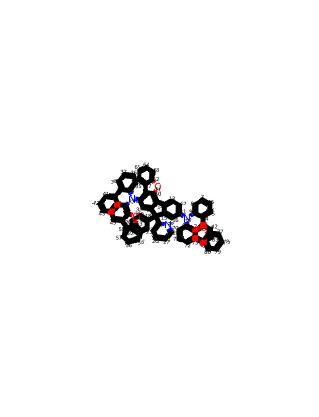 c1ccc(-c2ccccc2N(c2ccc3c(c2)C(c2ccccc2)(c2ccccn2)c2cc(N(c4ccccc4-c4ccccc4)c4cccc5c4oc4ccccc45)c4c(oc5ccccc54)c2-3)c2cccc3c2oc2ccccc23)cc1